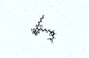 CCCCCCN=C1NS(=O)(=O)N=C1NCCSCc1ccc(CN(C)C)o1